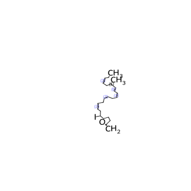 C=C1CCC(C(I)C/C=C\C/C=C\C/C=C\C=C\[C@@H](C)C/C=C\CC)O1